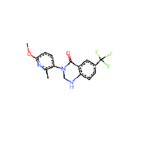 COc1ccc(N2CNc3ccc(C(F)(F)F)cc3C2=O)c(C)n1